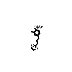 COc1ccc(CCCC2OCCO2)cc1C